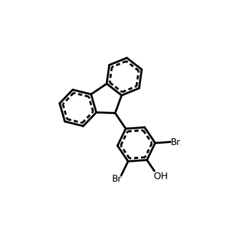 Oc1c(Br)cc(C2c3ccccc3-c3ccccc32)cc1Br